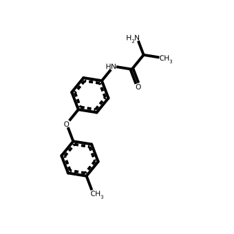 Cc1ccc(Oc2ccc(NC(=O)C(C)N)cc2)cc1